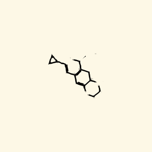 C[C@H](N)C1=C(/C=C/C2CC2)C=C2OCCOC2C1.Cl